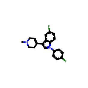 CN1CC=C(c2cn(-c3ccc(F)cc3)c3ccc(F)cc23)CC1